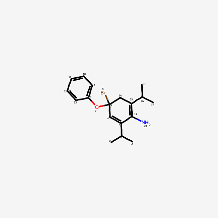 CC(C)C1=CC(Br)(Oc2ccccc2)CC(C(C)C)=C1N